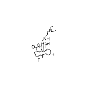 CCN(CC)CCCNCC1(O)CN(C(=O)c2ccc(F)c(F)c2Nc2ccc(I)cc2F)C1